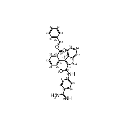 N=C(N)c1ccc(NC(=O)c2sc3ccccc3c2-c2ccccc2C(=O)OCc2ccccc2)cc1